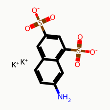 Nc1ccc2cc(S(=O)(=O)[O-])cc(S(=O)(=O)[O-])c2c1.[K+].[K+]